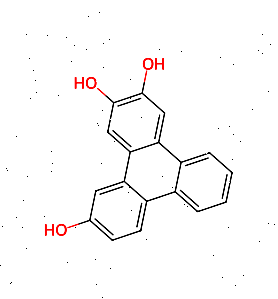 Oc1ccc2c3ccccc3c3cc(O)c(O)cc3c2c1